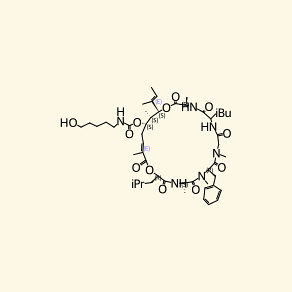 C/C=C(\C)[C@H]1OC(=O)[C@@H](C)NC(=O)C(C(C)CC)NC(=O)CN(C)C(=O)[C@@H](Cc2ccccc2)N(C)C(=O)[C@H](C)NC(=O)[C@@H](CC(C)C)OC(=O)/C(C)=C/C[C@H](OC(=O)NCCCCCO)[C@@H]1C